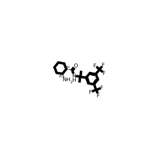 CC(C)(NC(=O)[C@H]1CCCC[C@H]1N)c1cc(C(F)(F)F)cc(C(F)(F)F)c1